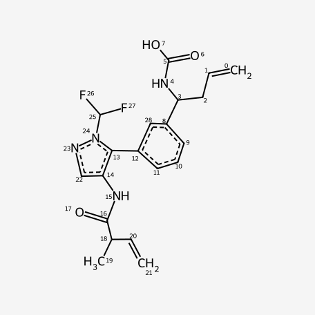 C=CCC(NC(=O)O)c1cccc(-c2c(NC(=O)C(C)C=C)cnn2C(F)F)c1